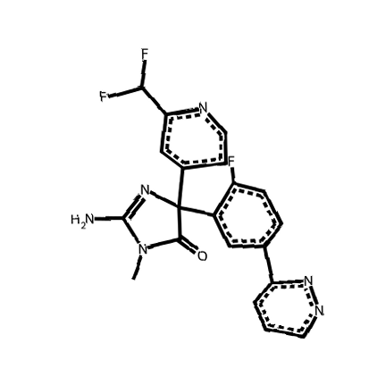 CN1C(=O)C(c2ccnc(C(F)F)c2)(c2cc(-c3cccnn3)ccc2F)N=C1N